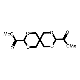 COC(=O)C1OCC2(CO1)COC(C(=O)OC)OC2